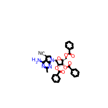 Cc1nc(N)c2c(C#N)cn([C@@H]3O[C@H](COC(=O)c4ccccc4)[C@@H](OC(=O)c4ccccc4)[C@H]3OC(=O)c3ccccc3)c2n1